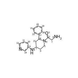 NCC(=O)N1CCC(Nc2cccnc2)CC1c1ccccc1